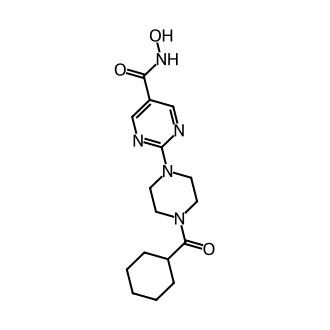 O=C(NO)c1cnc(N2CCN(C(=O)C3CCCCC3)CC2)nc1